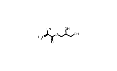 C=C(C#N)C(=O)OCC(O)CO